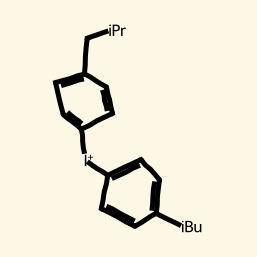 CCC(C)c1ccc([I+]c2ccc(CC(C)C)cc2)cc1